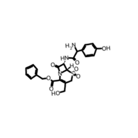 NC(C(=O)N[C@H]1C(=O)N2C(C(=O)OCc3ccccc3)=C(CO)CS(=O)(=O)[C@@H]12)c1ccc(O)cc1